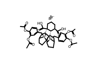 CC(=O)Oc1ccc(C[N+]2(C)C3CCC2CC([C@H]2C(C(=O)O)CCC[C@@]2(C(=O)O)C2CC4CCC(C2)[N+]4(C)Cc2ccc(OC(C)=O)c(OC(C)=O)c2)C3)cc1OC(C)=O.[Br-].[Br-]